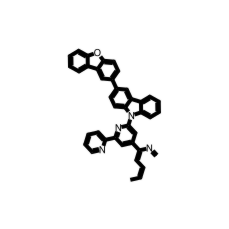 C=N/C(=C\C=C/C)c1cc(-c2ccccn2)nc(-n2c3ccccc3c3cc(-c4ccc5oc6ccccc6c5c4)ccc32)c1